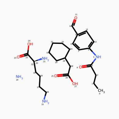 CCCC(=O)Nc1ccc(C=O)cc1.N.NCCCC[C@H](N)C(=O)O.O=C(O)CC1CCCCC1